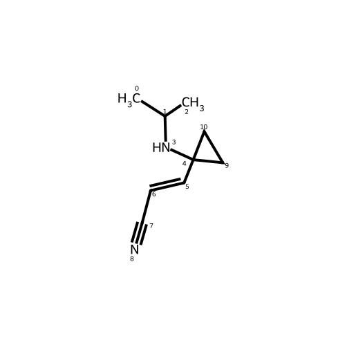 CC(C)NC1(C=CC#N)CC1